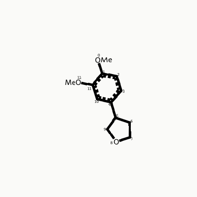 COc1ccc(C2CCOC2)cc1OC